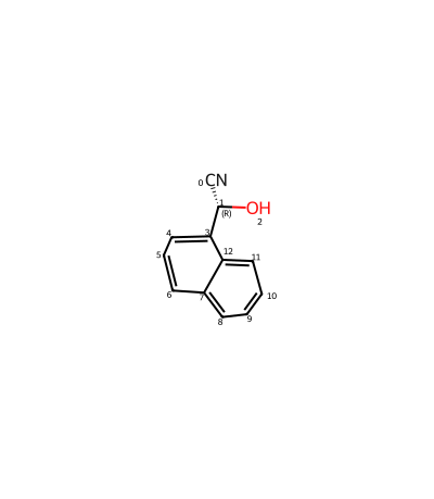 N#C[C@H](O)c1cccc2ccccc12